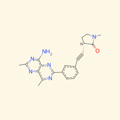 Cc1nc(N)c2nc(-c3cccc(C#C[C@@H]4CCN(C)C4=O)c3)nc(C)c2n1